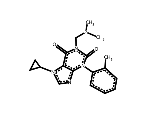 Cc1ccccc1-n1c(=O)n(CP(C)C)c(=O)c2c1ncn2C1CC1